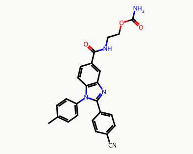 Cc1ccc(-n2c(-c3ccc(C#N)cc3)nc3cc(C(=O)NCCOC(N)=O)ccc32)cc1